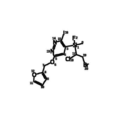 C[Si](F)(c1cc(OCc2ccco2)nnc1I)C(Cl)CBr